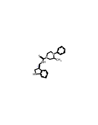 CC1CN(C(=S)N/C=C2/CNc3ccccc32)CCN1c1ccccc1